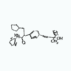 CCC(C)(O)C#Cc1ccc(C(CC2CCCC2)C(=O)Nc2nccs2)cc1